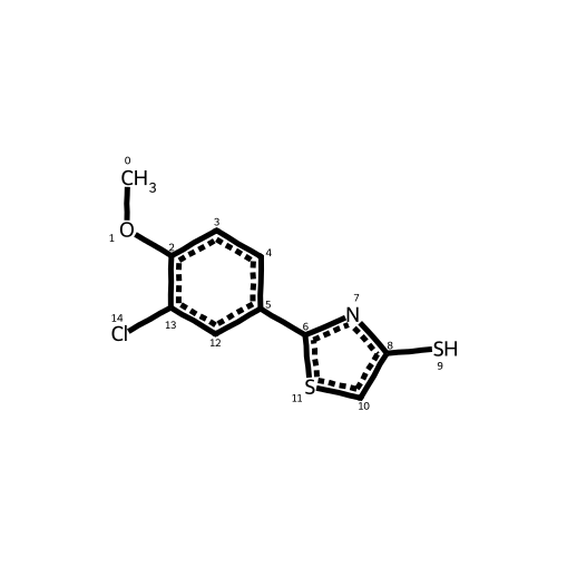 COc1ccc(-c2nc(S)cs2)cc1Cl